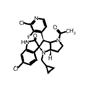 CC(=O)N1CC[C@H]2C1[C@H](c1ccnc(Cl)c1F)[C@]1(C(=O)Nc3cc(Cl)ccc31)N2CC1CC1